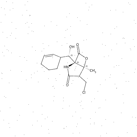 C[C@@]12OC(=O)[C@]1([C@@H](O)C1C=CCCC1)NC(=O)C2CCl